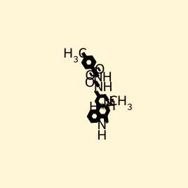 Cc1ccc(S(=O)(=O)NC(=O)NCC2C[C@@H]3c4cccc5[nH]cc(c45)C[C@H]3N(C)C2)cc1